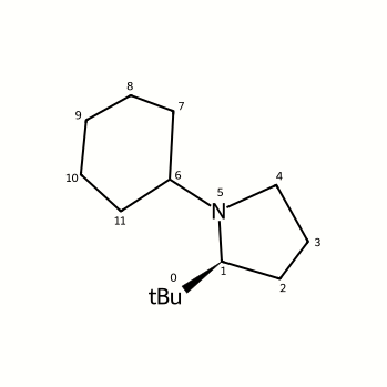 CC(C)(C)[C@@H]1CCCN1C1CCCCC1